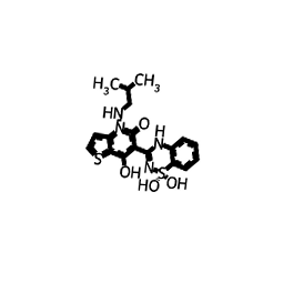 CC(C)CNn1c(=O)c(C2=NS(O)(O)c3ccccc3N2)c(O)c2sccc21